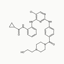 O=C(Nc1ccccc1Nc1nc(Nc2ccc(C(=O)N3CCN(CCO)CC3)cc2)ncc1Cl)C1CC1